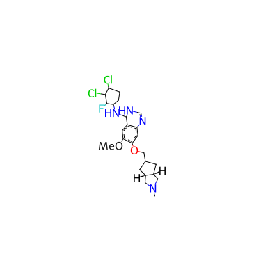 COc1cc2c(cc1OCC1C[C@@H]3CN(C)C[C@@H]3C1)N=CNC2NC1CCC(Cl)C(Cl)[C@@H]1F